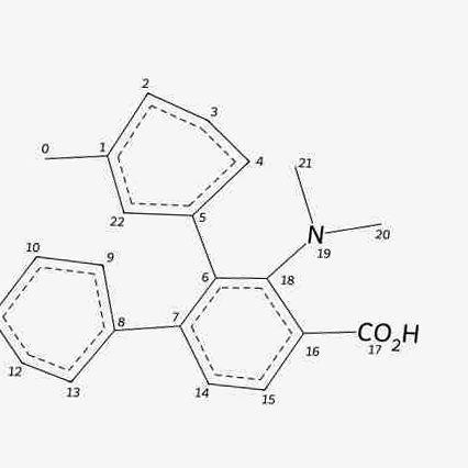 Cc1cccc(-c2c(-c3ccccc3)ccc(C(=O)O)c2N(C)C)c1